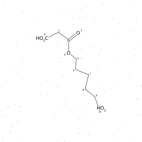 O=C(O)CC(=O)OCCCCC[N+](=O)[O-]